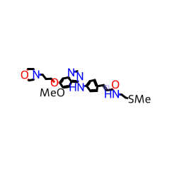 COc1cc2c(Nc3ccc(/C=C/C(=O)NCCSC)cc3)ncnc2cc1OCCCN1CCOCC1